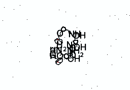 C[C@H](Cc1cccc(OCCC23CC4CC(CC(C4)C2)C3)c1)NC[C@H](O)c1ccc(O)c(C(N)=O)c1.NC(=O)c1cc([C@@H](O)CNCCc2cccc(OCCC34CC5CC(CC(C5)C3)C4)c2)ccc1O